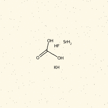 F.O=C(O)O.[KH].[SrH2]